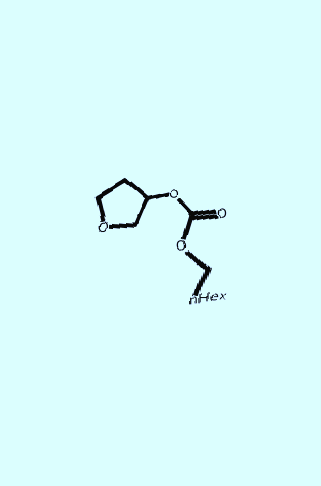 CCCCCCCOC(=O)OC1CCOC1